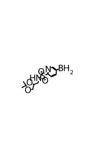 Bc1ccc(S(=O)(=O)NCC2COC(C)(C)O2)nc1